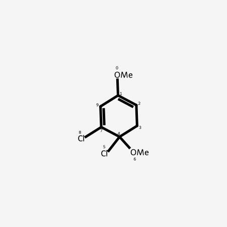 COC1=CCC(Cl)(OC)C(Cl)=C1